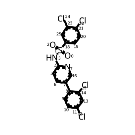 O=S(=O)(Nc1ccc(-c2ccc(Cl)cc2Cl)cn1)c1ccc(Cl)c(Cl)c1